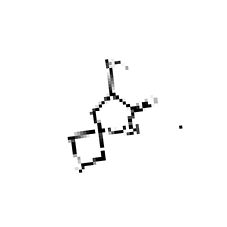 NC1CC2(COC2)NC1=O